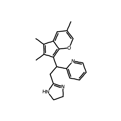 Cc1coc2c(C(CC3=NCCN3)c3ccccn3)c(C)c(C)c-2c1